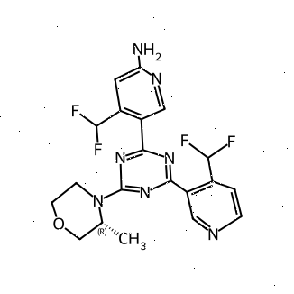 C[C@@H]1COCCN1c1nc(-c2cnccc2C(F)F)nc(-c2cnc(N)cc2C(F)F)n1